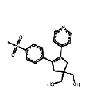 CS(=O)(=O)c1ccc(C2=C(c3ccncc3)CC(CO)(CO)C2)cc1